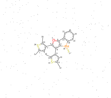 Cc1cc(-c2oc3c(c2-c2cc(C)sc2C)[PH](=S)c2ccccc2-3)c(C)s1